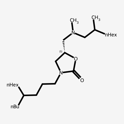 CCCCCCC(C)CN(C)C[C@H]1CN(CCCC(CCCC)CCCCCC)C(=O)O1